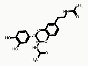 CC(=O)NCCc1ccc2c(c1)O[C@@H](c1ccc(O)c(O)c1)[C@H](NC(C)=O)O2